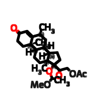 COC(C)O[C@]1(C(=O)COC(C)=O)CC[C@H]2[C@@H]3C[C@H](C)C4=CC(=O)CC[C@]4(C)[C@H]3CC[C@@]21C